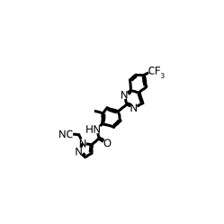 Cc1cc(-c2ncc3cc(C(F)(F)F)ccc3n2)ccc1NC(=O)c1ccnn1CC#N